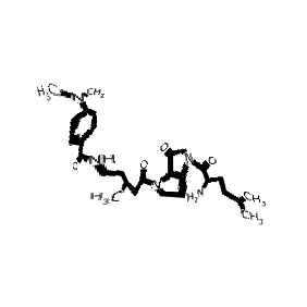 CC(C)CCC(N)C(=O)N1CC(=O)C2C1CCN2C(=O)CC(C)CCNC(=O)c1ccc(N(C)C)cc1